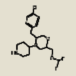 FC(F)OCC1CN(C2CCNCC2)C(Cc2ccc(Cl)cc2)CO1